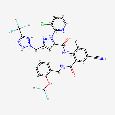 Cc1cc(C#N)cc(C(=O)NCc2ccccc2OC(F)F)c1NC(=O)c1cc(Cn2nnc(C(F)(F)F)n2)nn1-c1ncccc1Cl